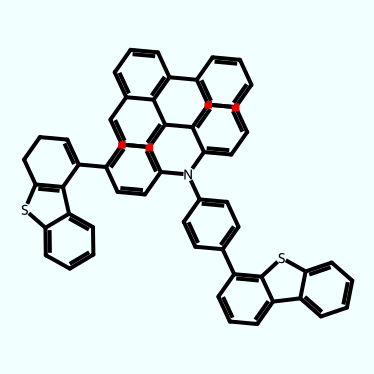 C1=C(c2ccc(N(c3ccc(-c4cccc5c4sc4ccccc45)cc3)c3ccccc3-c3cccc4cccc(-c5ccccc5)c34)cc2)c2c(sc3ccccc23)CC1